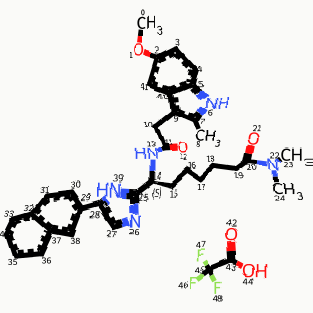 COc1ccc2[nH]c(C)c(CC(=O)N[C@@H](CCCCCC(=O)N(C)C)c3ncc(-c4ccc5ccccc5c4)[nH]3)c2c1.O=C(O)C(F)(F)F